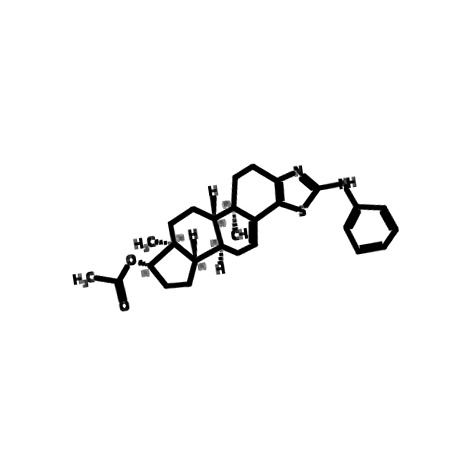 CC(=O)O[C@H]1CC[C@H]2[C@@H]3CC=C4c5sc(Nc6ccccc6)nc5CC[C@]4(C)[C@H]3CC[C@]12C